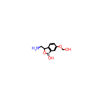 NCC1OB(O)c2cc(OCO)ccc21